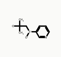 CC(C)([O])C[S+]([O-])c1cccnc1